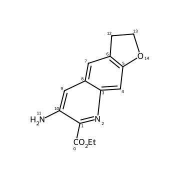 CCOC(=O)c1nc2cc3c(cc2cc1N)CCO3